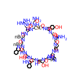 CCCC[C@H]1C(=O)N(C)[C@@H](CCCC)C(=O)N[C@@H](CCCNC(=N)N)C(=O)N[C@H](C(=O)NCC(N)=O)CSCC(=O)N[C@@H](Cc2ccc(O)cc2)C(=O)N(C)[C@@H](C)C(=O)N[C@@H](CC(N)=O)C(=O)N2CCC[C@H]2C(=O)N[C@@H](Cc2cnc[nH]2)C(=O)N[C@@H](CC(C)C)C(=O)N2C[C@H](O)C[C@H]2C(=O)N[C@@H](Cc2c[nH]c3ccccc23)C(=O)N[C@@H](CO)C(=O)N[C@@H](Cc2cncc3ccccc23)C(=O)N1C